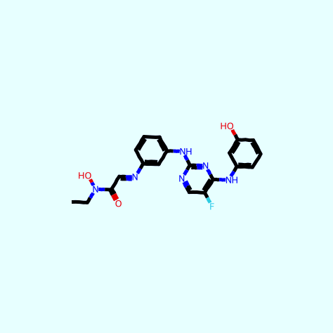 CCN(O)C(=O)C=Nc1cccc(Nc2ncc(F)c(Nc3cccc(O)c3)n2)c1